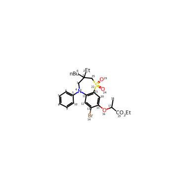 CCCCC1(CC)CN(c2ccccc2)c2cc(Br)c(OC(C)C(=O)OCC)cc2S(=O)(=O)C1